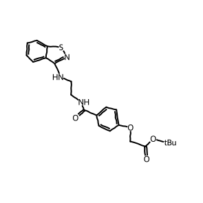 CC(C)(C)OC(=O)COc1ccc(C(=O)NCCNc2nsc3ccccc23)cc1